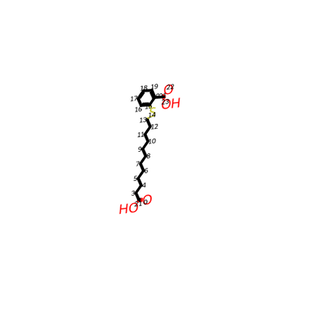 O=C(O)CCCCCCCCCCCSc1ccccc1C(=O)O